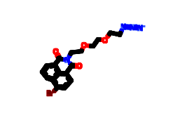 [N-]=[N+]=NCCOCCOCCN1C(=O)c2cccc3c(Br)ccc(c23)C1=O